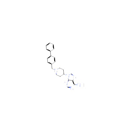 Nc1ncnc2c1ncn2C1CCN(Cc2ccc(-c3[c]cccc3)cc2)CC1